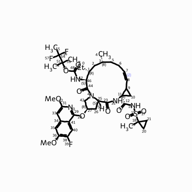 CC[C@@H]1C[C@H](C)CC/C=C\C2C[C@@]2(C(=O)NS(=O)(=O)C2(C)CC2)NC(=O)[C@@H]2C[C@@H](Oc3nc(OC)cc4cc(OC)c(F)cc34)CN2C(=O)[C@H]1NC(=O)OC(C)(C)C(C)(F)F